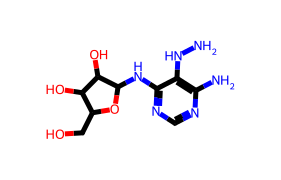 NNc1c(N)ncnc1NC1OC(CO)C(O)C1O